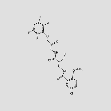 COc1ccc(Cl)cc1C(=O)NCC(CCl)C(=O)NCC(=O)COc1c(F)c(F)cc(F)c1F